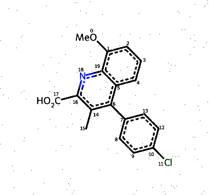 COc1cccc2c(-c3ccc(Cl)cc3)c(C)c(C(=O)O)nc12